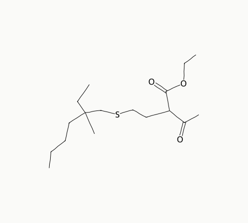 CCCCC(C)(CC)CSCCC(C(C)=O)C(=O)OCC